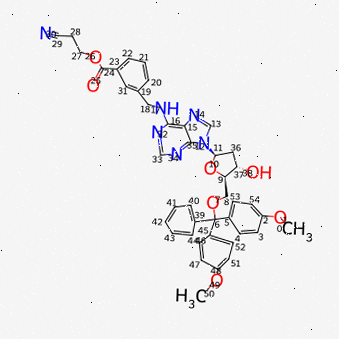 COc1ccc(C(OC[C@H]2O[C@@H](n3cnc4c(NCc5cccc(C(=O)OCCC#N)c5)ncnc43)C[C@@H]2O)(c2ccccc2)c2ccc(OC)cc2)cc1